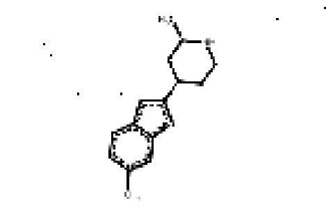 Cc1ccc2cc([C@@H]3CCN[C@H](C)C3)sc2c1